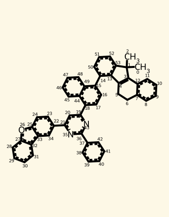 CC1(C)C2=C(CCc3ccccc32)c2c(-c3ccc(-c4cc(-c5ccc6oc7ccccc7c6c5)nc(-c5ccccc5)n4)c4ccccc34)cccc21